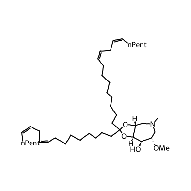 CCCCC/C=C\C/C=C\CCCCCCCCC1(CCCCCCCC/C=C\C/C=C\CCCCC)O[C@@H]2[C@H](O)[C@@H](OC)CN(C)C[C@H]2O1